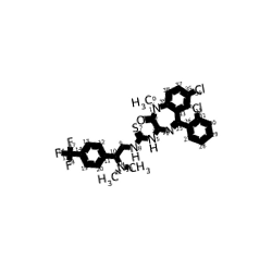 CN1C(=O)C(NC(=S)NCC(c2ccc(C(F)(F)F)cc2)N(C)C)N=C(c2ccccc2Cl)c2cc(Cl)ccc21